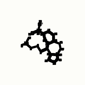 CN(C)CCC=C1c2cc([N+](=O)[O-])ccc2CCn2cccc21